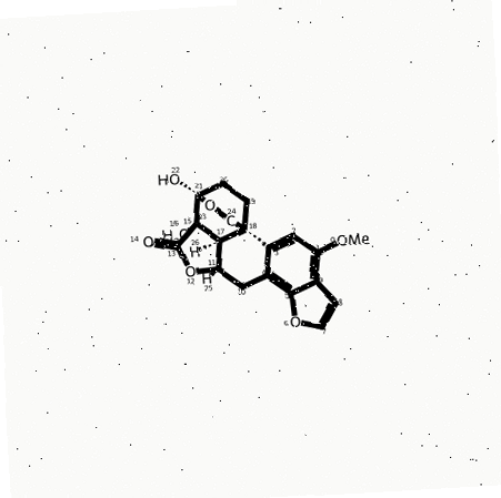 COc1cc2c(c3occc13)C[C@H]1OC(=O)[C@]3(C)[C@H]1[C@@]21CC[C@@]3(O)OC1